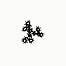 c1ccc(-n2c(-c3cc4n(n3)c3cc(-c5cc6ccccc6n5-c5ccccc5)nn3c3cc(-c5cc6ccccc6n5-c5ccccc5)nn43)cc3ccccc32)cc1